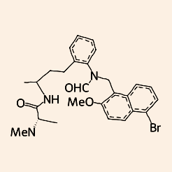 CN[C@@H](C)C(=O)NC(C)CCc1ccccc1N(C=O)Cc1c(OC)ccc2c(Br)cccc12